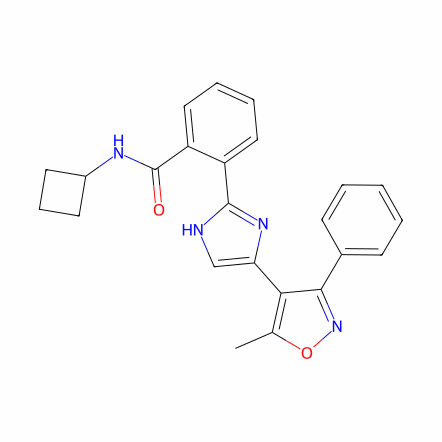 Cc1onc(-c2ccccc2)c1-c1c[nH]c(-c2ccccc2C(=O)NC2CCC2)n1